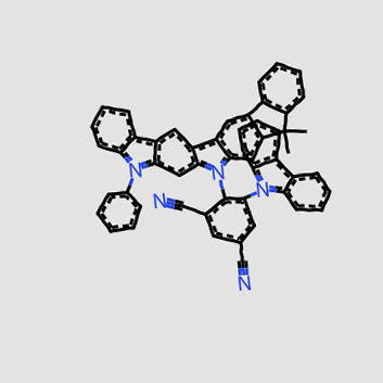 CC1(C)c2ccccc2-c2cc3c4cc5c6ccccc6n(-c6ccccc6)c5cc4n(-c4c(C#N)cc(C#N)cc4-n4c5ccccc5c5ccccc54)c3cc21